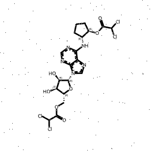 O=C(OC[C@H]1O[C@@H](n2cnc3c(N[C@@H]4CCC[C@H]4OC(=O)C(Cl)Cl)ncnc32)[C@H](O)[C@@H]1O)C(Cl)Cl